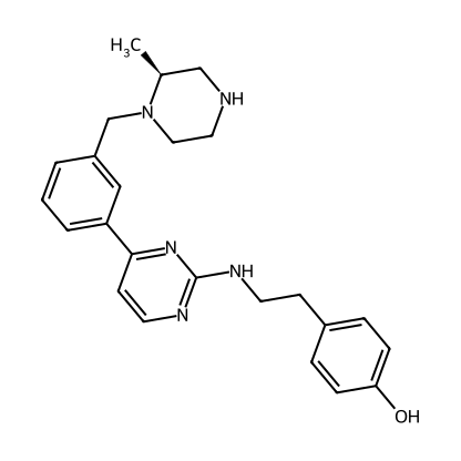 C[C@H]1CNCCN1Cc1cccc(-c2ccnc(NCCc3ccc(O)cc3)n2)c1